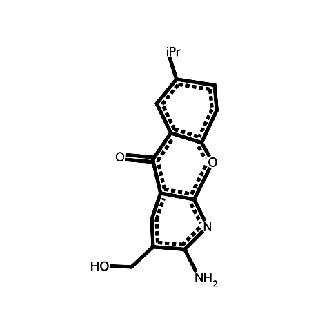 CC(C)c1ccc2oc3nc(N)c(CO)cc3c(=O)c2c1